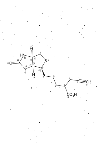 C#CCC(CCC[C@@H]1SC[C@@H]2NC(=O)N[C@@H]21)C(=O)O